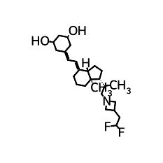 CC(CN1CC(CC(F)F)C1)[C@H]1CC[C@H]2C(=CC=C3C[C@@H](O)C[C@H](O)C3)CCC[C@]12C